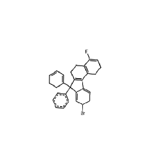 FC1=CCCC2=C1CCC1=C2C2=CCC(Br)C=C2C1(C1=CC=CCC1)c1ccccc1